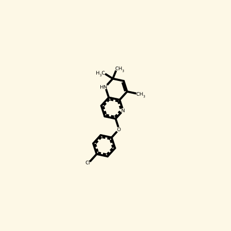 CC1=CC(C)(C)Nc2ccc(Oc3ccc(Cl)cc3)nc21